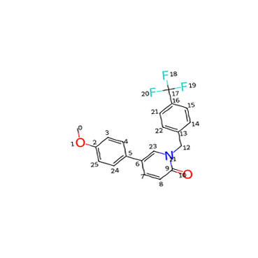 COc1ccc(-c2ccc(=O)n(Cc3ccc(C(F)(F)F)cc3)c2)cc1